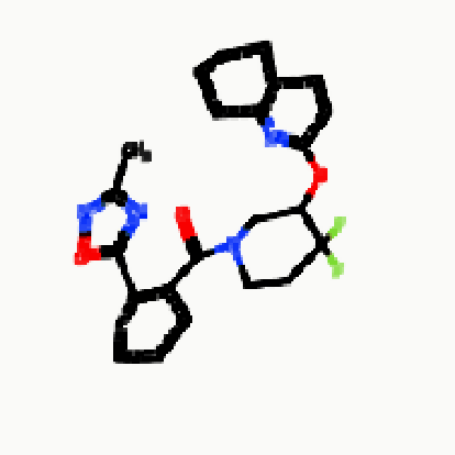 Cc1noc(-c2ccccc2C(=O)N2CCC(F)(F)C(Oc3ccc4ccccc4n3)C2)n1